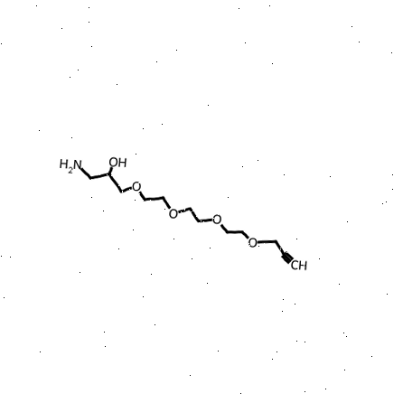 C#CCOCCOCCOCCOCC(O)CN